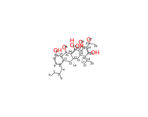 CCC(C)Cc1ccc(O)c2c1C[C@]1(C)C[C@]3(C)C(C(C)C)C(O)=C(C(C)=O)C(=O)[C@]3(O)C(O)=C1C2=O